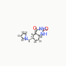 O=c1[nH]c(=O)c2cc(Cn3cccc3)ccc2[nH]1